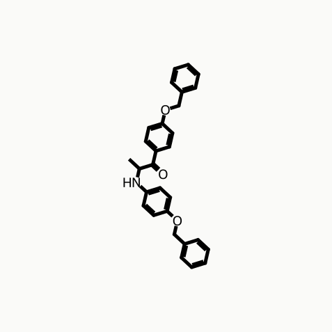 CC(Nc1ccc(OCc2ccccc2)cc1)C(=O)c1ccc(OCc2ccccc2)cc1